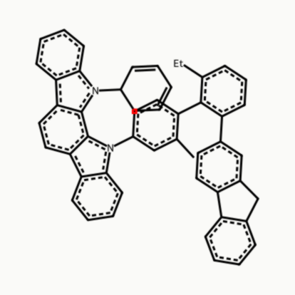 CCc1cccc(-c2ccc3c(c2)Cc2ccccc2-3)c1-c1ccc(-n2c3ccccc3c3ccc4c5ccccc5n(C5C=CC=CC5)c4c32)cc1C